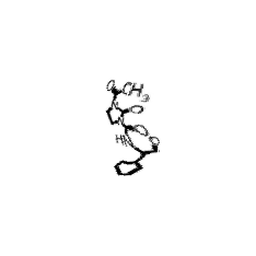 CC(=O)N1CCN(C(=O)NC([C]=O)c2ccccc2)C1=O